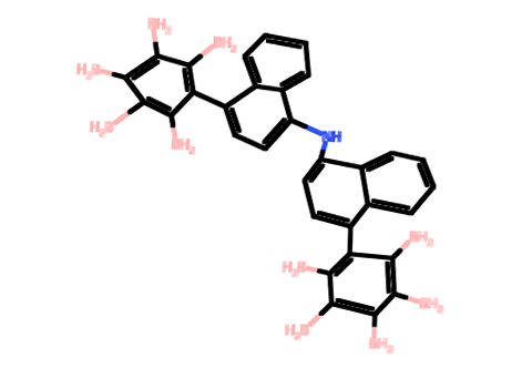 Bc1c(B)c(B)c(-c2ccc(Nc3ccc(-c4c(B)c(B)c(B)c(B)c4B)c4ccccc34)c3ccccc23)c(B)c1B